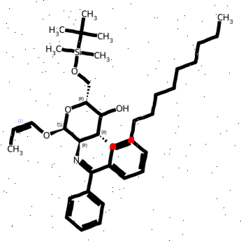 C/C=C\O[C@H]1O[C@H](CO[Si](C)(C)C(C)(C)C)C(O)[C@H](OCCCCCCCCCC)[C@H]1N=C(c1ccccc1)c1ccccc1